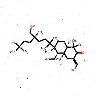 CCCC(C)(C)CC[C@](C)(CO)CCC(C)(C)[C@]1(C)CC[C@H]2C(C)(C)C(=O)C(=CO)C[C@]2(C)[C@H]1CC(C)=O